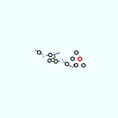 C=C1/C(=C\C=C/C)c2ccc(-c3nnc(-c4ccc(C(C)(C)C)cc4)o3)cc2[C@@]12c1ccccc1-c1ccc(-c3nnc(-c4ccc(C(C)(C)Cc5ccc(P(c6ccccc6)c6ccccc6Oc6ccccc6P(c6ccccc6)c6ccccc6)cc5)cc4)o3)cc12